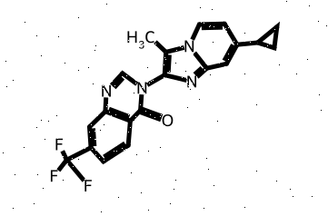 Cc1c(-n2cnc3cc(C(F)(F)F)ccc3c2=O)nc2cc(C3CC3)ccn12